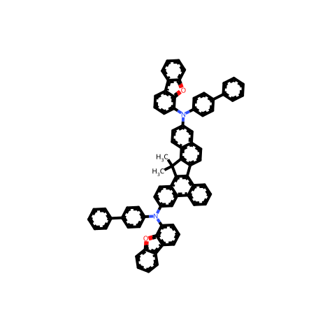 CC1(C)c2c(ccc3cc(N(c4ccc(-c5ccccc5)cc4)c4cccc5c4oc4ccccc45)ccc23)-c2c1c1ccc(N(c3ccc(-c4ccccc4)cc3)c3cccc4c3oc3ccccc34)cc1c1ccccc21